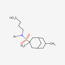 CC(=O)N(CCCS(=O)(=O)O)S(=O)(=O)C1(C)CC2CC(C)CC(C2)C1